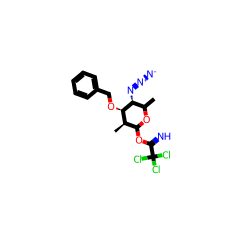 CC1OC(OC(=N)C(Cl)(Cl)Cl)[C@@H](C)[C@H](OCc2ccccc2)[C@@H]1N=[N+]=[N-]